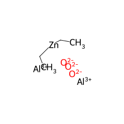 C[CH2][Zn][CH2]C.[Al+3].[Al+3].[O-2].[O-2].[O-2]